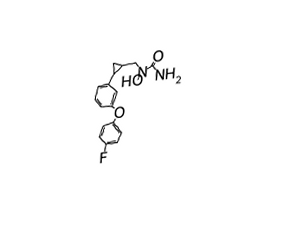 NC(=O)N(O)CC1CC1c1cccc(Oc2ccc(F)cc2)c1